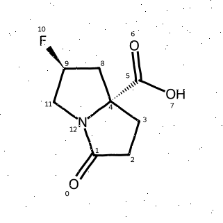 O=C1CC[C@]2(C(=O)O)C[C@H](F)CN12